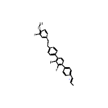 C/C=C/c1ccc(-c2ccc(-c3ccc(CCc4ccc(OCC)c(F)c4)cc3)c(F)c2F)cc1